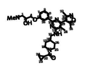 CNCC(O)COc1cccc(-c2nc(NCC3CCN(C(=O)C4CC4)CC3)c(C)c(-c3c(C)noc3C)n2)c1